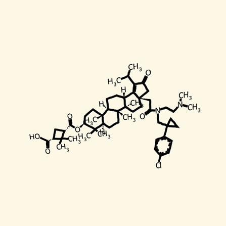 CC(C)C1=C2[C@H]3CC[C@@H]4[C@@]5(C)CC[C@H](OC(=O)[C@H]6C[C@@H](C(=O)O)C6(C)C)C(C)(C)[C@@H]5CC[C@@]4(C)[C@]3(C)CC[C@@]2(CC(=O)N(CCN(C)C)CC2(c3ccc(Cl)cc3)CC2)CC1=O